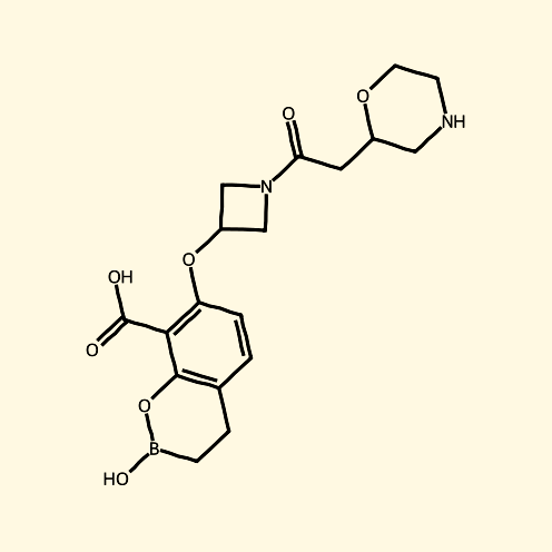 O=C(O)c1c(OC2CN(C(=O)CC3CNCCO3)C2)ccc2c1OB(O)CC2